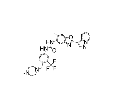 Cc1cc2oc(-c3cnn4ccccc34)nc2cc1NC(=O)Nc1ccc(CN2CCN(C)CC2)c(C(F)(F)F)c1